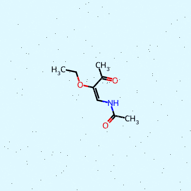 CCO/C(=C/NC(C)=O)C(C)=O